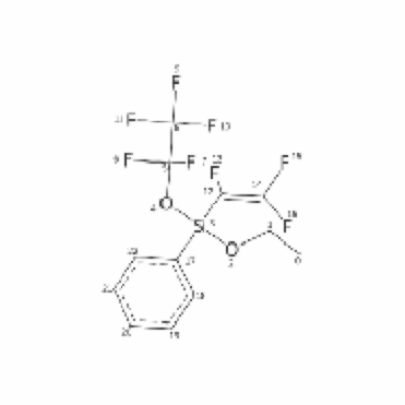 CCO[Si](OC(F)(F)C(F)(F)F)(C(F)=C(F)F)c1ccccc1